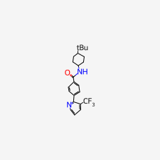 CC(C)(C)C1CCC(NC(=O)c2ccc(-c3ncccc3C(F)(F)F)cc2)CC1